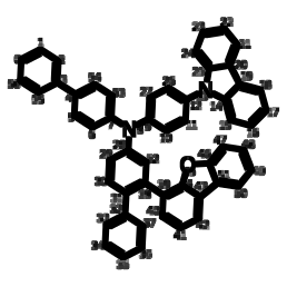 c1ccc(-c2ccc(N(c3ccc(-n4c5ccccc5c5ccccc54)cc3)c3ccc(-c4ccccc4)c(-c4cccc5c4oc4ccccc45)c3)cc2)cc1